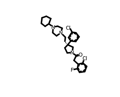 O=C(Cc1c(F)cccc1Cl)N1CC[C@@](CCN2CCN(C3CCCCC3)CC2)(c2cccc(Cl)c2)C1